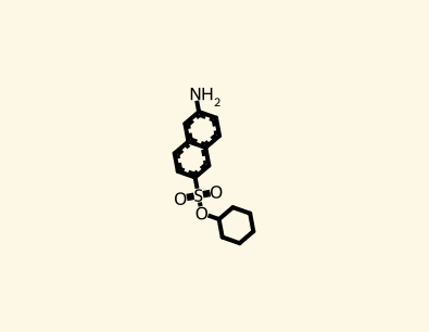 Nc1ccc2cc(S(=O)(=O)OC3CCCCC3)ccc2c1